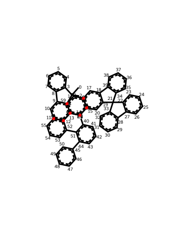 CC1(C)c2ccccc2-c2cccc(N(c3ccc4c(c3)C3(c5ccccc5-c5ccccc53)c3ccccc3-4)c3cccc(-c4ccccc4)c3-c3ccccc3-c3ccccc3)c21